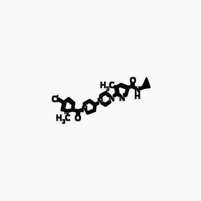 Cc1cc(C(=O)NC2CC2)cnc1N1CCN(C2CCN(C(=O)C3C=CC(Cl)=C[C@H]3C)CC2)CC1